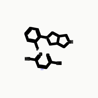 Fc1ccccc1N1CC2CNCC2C1.O=C(O)/C=C\C(=O)O